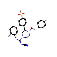 Cc1ccccc1N/C(=N/C#N)N1CCN(C(=O)Nc2ccc(Cl)cc2)C(c2ccc(S(C)(=O)=O)cc2)C1